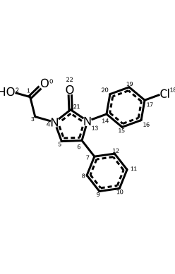 O=C(O)Cn1cc(-c2ccccc2)n(-c2ccc(Cl)cc2)c1=O